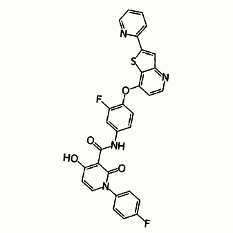 O=C(Nc1ccc(Oc2ccnc3cc(-c4ccccn4)sc23)c(F)c1)c1c(O)ccn(-c2ccc(F)cc2)c1=O